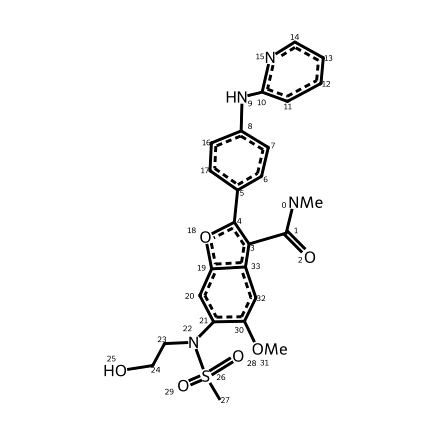 CNC(=O)c1c(-c2ccc(Nc3ccccn3)cc2)oc2cc(N(CCO)S(C)(=O)=O)c(OC)cc12